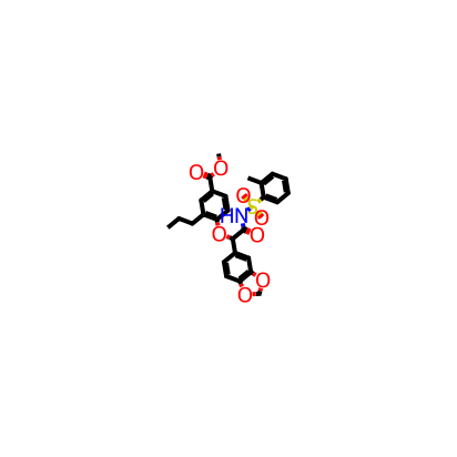 CCCc1cc(C(=O)OC)ccc1OC(C(=O)NS(=O)(=O)c1ccccc1C)c1ccc2c(c1)OCO2